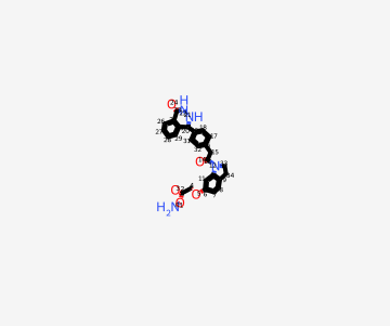 NOC(=O)COc1ccc2c(c1)N(C(=O)Cc1ccc(C3NNC(=O)c4ccccc43)cc1)CC2